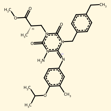 CCc1ccc(Cn2c(=O)n(C[C@H](C)C(=O)OC)c(=O)n(N)/c2=N\c2ccc(OC(C)C)c(C)c2)cc1